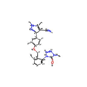 Cc1cc(-c2nn(C)c(C)c2C#N)ccc1OCc1c(C)cccc1-n1nnn(C)c1=O